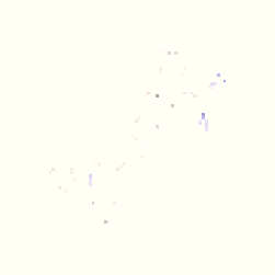 CC1(C)c2cc(/C=C3\C(=O)c4ccccc4C3=C(C#N)C#N)ccc2-c2ccc(N(c3ccccc3)c3ccccc3)cc21